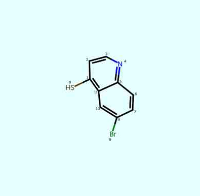 Sc1ccnc2ccc(Br)cc12